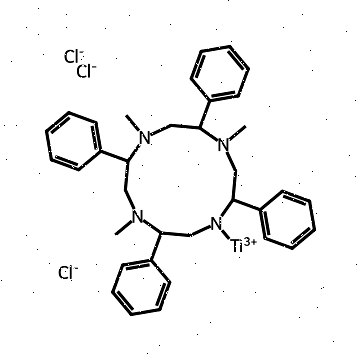 CN1CC(c2ccccc2)N(C)CC(c2ccccc2)[N]([Ti+3])CC(c2ccccc2)N(C)CC1c1ccccc1.[Cl-].[Cl-].[Cl-]